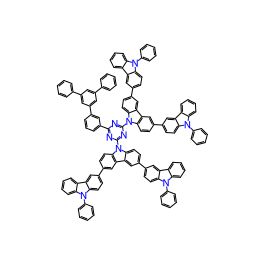 c1ccc(-c2cc(-c3ccccc3)cc(-c3cccc(-c4nc(-n5c6ccc(-c7ccc8c(c7)c7ccccc7n8-c7ccccc7)cc6c6cc(-c7ccc8c(c7)c7ccccc7n8-c7ccccc7)ccc65)nc(-n5c6ccc(-c7ccc8c(c7)c7ccccc7n8-c7ccccc7)cc6c6cc(-c7ccc8c(c7)c7ccccc7n8-c7ccccc7)ccc65)n4)c3)c2)cc1